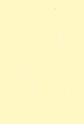 COC(=O)c1cncc(-c2ccc3ncnc(N[C@H](C)c4ccccc4)c3c2)c1